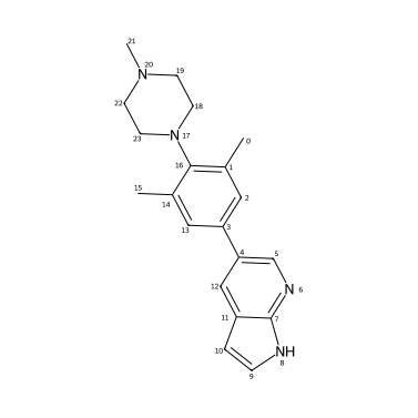 Cc1cc(-c2cnc3[nH]ccc3c2)cc(C)c1N1CCN(C)CC1